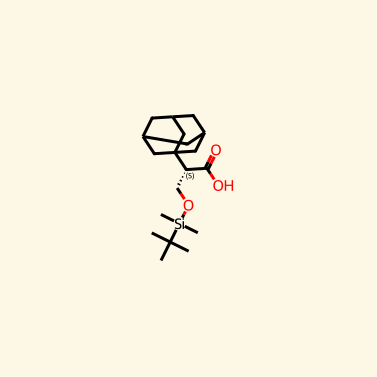 CC(C)(C)[Si](C)(C)OC[C@@H](C(=O)O)C12CC3CC(CC(C3)C1)C2